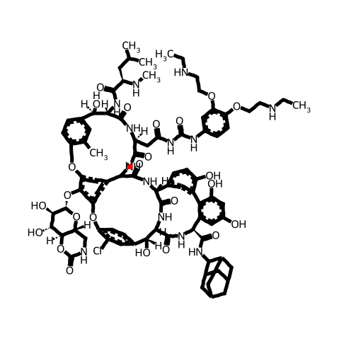 CCNCCOc1ccc(NC(=O)NC(=O)C[C@@H]2NC(=O)[C@H](NC(=O)[C@@H](CC(C)C)NC)[C@H](O)c3ccc(c(C)c3)Oc3cc4cc(c3O[C@@H]3O[C@@H]5CNC(=O)O[C@H]5[C@H](O)[C@H]3O)Oc3ccc(cc3Cl)[C@@H](O)[C@@H]3NC(=O)[C@H](NC(=O)[C@@H]4NC2=O)c2ccc(O)c(c2)-c2c(O)cc(O)cc2[C@@H](C(=O)NC2C4CC5CC(C4)CC2C5)NC3=O)cc1OCCNCC